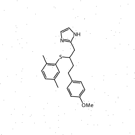 COc1ccc(CCC(Cc2ncc[nH]2)Sc2cc(C)ccc2C)cc1